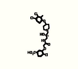 Cc1c(OC2CCN(C[C@H](O)CNC(=O)COc3cc(C(=O)O)ccc3Cl)CC2)ccc(Cl)c1Cl